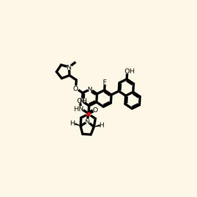 CN1CCCC1COc1nc(N2C[C@H]3CC[C@@H](C2)N3C(=O)NO)c2ccc(-c3cc(O)cc4ccccc34)c(F)c2n1